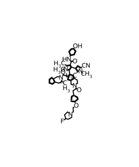 Cc1c(-c2c(C(=O)Nc3ccc(O)cc3)c(C)n(C)c2-c2cc3c(cc2C(=O)N2Cc4ccccc4C[C@H]2C)CN(C(=O)Cc2ccc(OCCN4CCC(F)CC4)cc2)CC3)cc(C#N)n1C